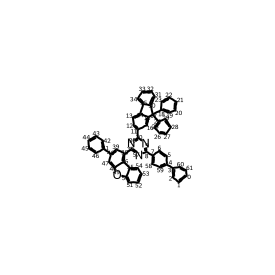 c1ccc(-c2ccc(-c3nc(-c4ccc5c(c4)C(c4ccccc4)(c4ccccc4)c4ccccc4-5)nc(-c4cc(-c5ccccc5)cc5oc6ccccc6c45)n3)cc2)cc1